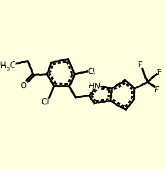 CCC(=O)c1ccc(Cl)c(Cc2cc3ccc(C(F)(F)F)cc3[nH]2)c1Cl